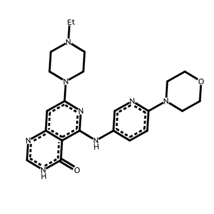 CCN1CCN(c2cc3nc[nH]c(=O)c3c(Nc3ccc(N4CCOCC4)nc3)n2)CC1